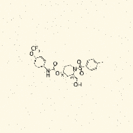 Cc1ccc(S(=O)(=O)N2CC[C@@H](OC(=O)Nc3ccc(OC(F)(F)F)cc3)C[C@@H]2CO)cc1